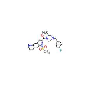 C[C@@H]1CN(Cc2ccc(F)cc2)CCN1C(=O)C=Cc1cc2ncccc2cc1NS(C)(=O)=O